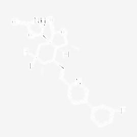 C[C@H]1OC(=O)[C@@]2(c3n[nH]c(=O)o3)CC(F)(F)[C@@H](C)[C@H](C=Cc3ccc(-c4cccc(F)c4)cn3)[C@H]12